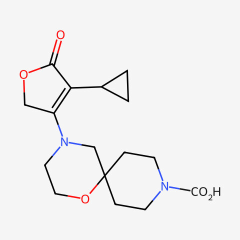 O=C1OCC(N2CCOC3(CCN(C(=O)O)CC3)C2)=C1C1CC1